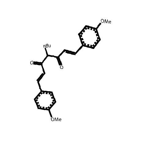 CCCCC(C(=O)/C=C/c1ccc(OC)cc1)C(=O)/C=C/c1ccc(OC)cc1